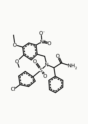 COc1cc(CN(C(C(N)=O)c2ccccc2)S(=O)(=O)c2ccc(Cl)cc2)c([N+](=O)[O-])cc1OC